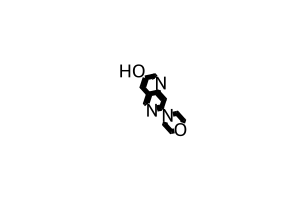 Oc1cnc2cc(N3CCOCC3)ncc2c1